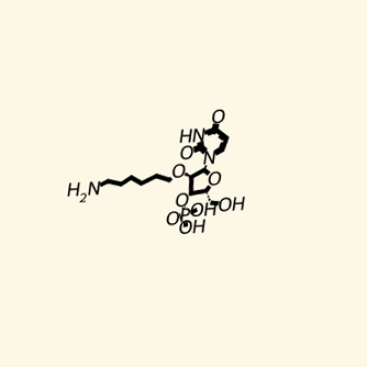 NCCCCCCO[C@@H]1[C@H](OP(=O)(O)O)[C@@H](CO)O[C@H]1n1ccc(=O)[nH]c1=O